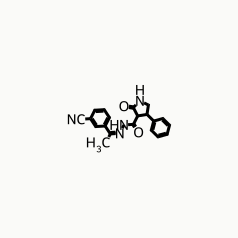 C/C(=N/NC(=O)C1C(=O)NCC1c1ccccc1)c1cccc(C#N)c1